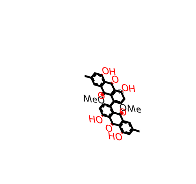 COC1=C(c2c(OC)cc(O)c3c2C(=O)c2cc(C)cc(O)c2C3=O)C2=C(C(=O)c3c(O)cc(C)cc3C2=O)[C@H](O)C1